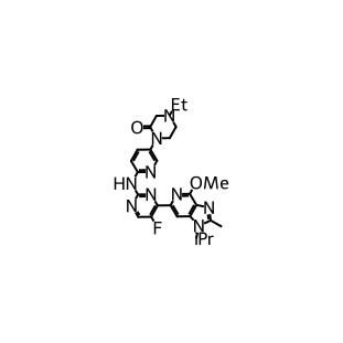 CCN1CCN(c2ccc(Nc3ncc(F)c(-c4cc5c(nc(C)n5C(C)C)c(OC)n4)n3)nc2)C(=O)C1